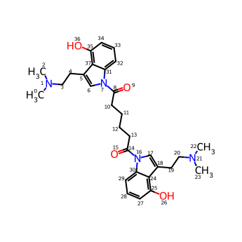 CN(C)CCc1cn(C(=O)CCCCC(=O)n2cc(CCN(C)C)c3c(O)cccc32)c2cccc(O)c12